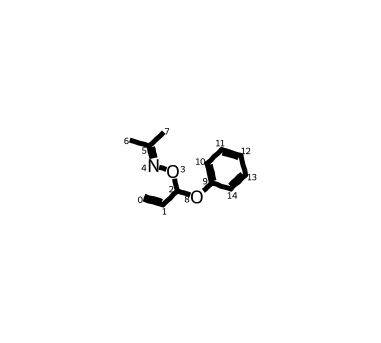 C=CC(ON=C(C)C)Oc1ccccc1